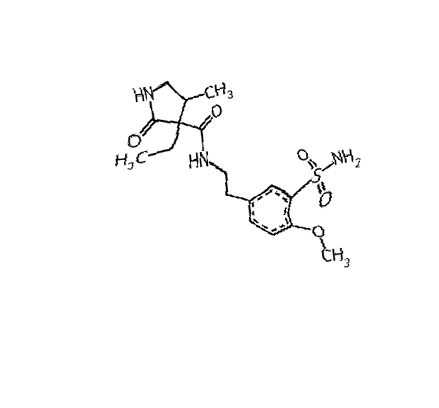 CCC1(C(=O)NCCc2ccc(OC)c(S(N)(=O)=O)c2)C(=O)NCC1C